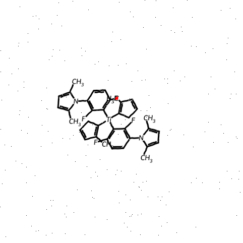 CC1=[C]([Ti]([C]2=C(C)C=CC2)([c]2c(F)ccc(-n3c(C)ccc3C)c2F)[c]2c(F)ccc(-n3c(C)ccc3C)c2F)CC=C1